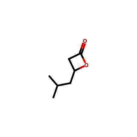 CC(C)CC1CC(=O)O1